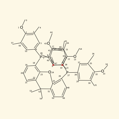 COc1c(C)cc(P(c2cc(C)c(OC)c(C)c2)c2cccc3c2Oc2c(P(c4cc(C)c(OC)c(C)c4)c4cc(C)c(OC)c(C)c4)cccc2C3(C)C)cc1C